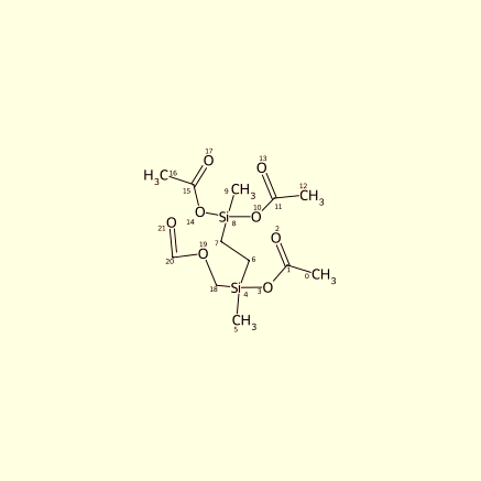 CC(=O)O[Si](C)(CC[Si](C)(OC(C)=O)OC(C)=O)COC=O